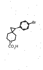 O=C(O)N1CCC2(CC1)C[C@H]2c1ccc(Br)cc1